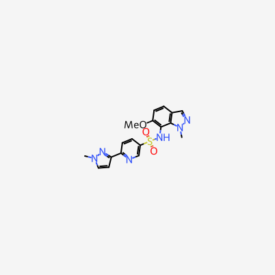 COc1ccc2cnn(C)c2c1NS(=O)(=O)c1ccc(-c2ccn(C)n2)nc1